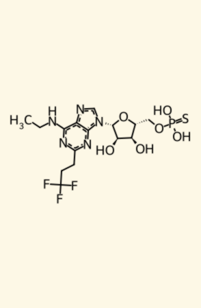 CCNc1nc(CCC(F)(F)F)nc2c1ncn2[C@@H]1O[C@H](COP(O)(O)=S)[C@@H](O)[C@H]1O